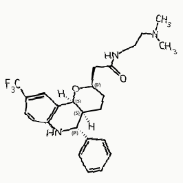 CN(C)CCNC(=O)C[C@H]1CC[C@@H]2[C@H](O1)c1cc(C(F)(F)F)ccc1N[C@H]2c1ccccc1